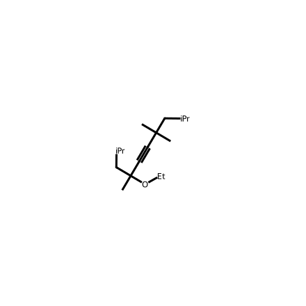 CCOC(C)(C#CC(C)(C)CC(C)C)CC(C)C